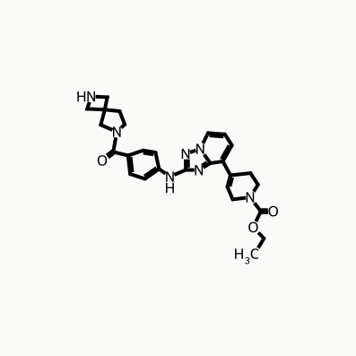 CCOC(=O)N1CC=C(c2cccn3nc(Nc4ccc(C(=O)N5CCC6(CNC6)C5)cc4)nc23)CC1